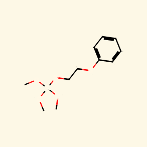 CO[Si](OC)(OC)OCCOc1ccccc1